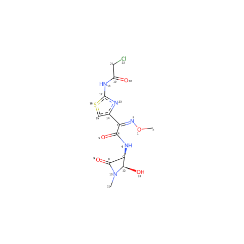 CON=C(C(=O)N[C@@H]1C(=O)N(C)[C@@H]1O)c1csc(NC(=O)CCl)n1